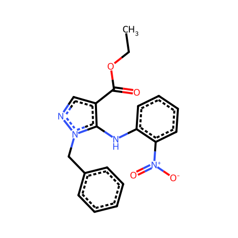 CCOC(=O)c1cnn(Cc2ccccc2)c1Nc1ccccc1[N+](=O)[O-]